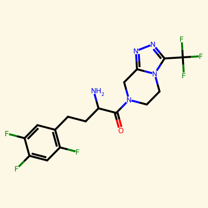 NC(CCc1cc(F)c(F)cc1F)C(=O)N1CCn2c(nnc2C(F)(F)F)C1